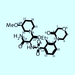 CCc1c(N2CCOCC2=O)cccc1S(=O)(=O)N[C@@H](C(N)=O)C(=O)N1CCC[C@H](OC)C1